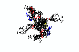 CCCCOCc1ccc2c(c1)C(=O)/C(=C\c1cc3c(s1)C(c1ccc(OCC(CC)CCCC)cc1)(c1ccc(OCC(CC)CCCC)cc1)c1cc4c(cc1-3)C(c1ccc(OCC(CC)CCCC)cc1)(c1ccc(OCC(CC)CCCC)cc1)c1sc(/C=C3\C(=O)c5ccc(COC)cc5C3=C(C#N)C#N)cc1-4)C2=C(C#N)C#N